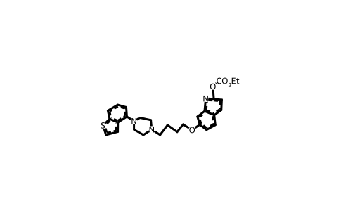 CCOC(=O)Oc1ccc2ccc(OCCCCN3CCN(c4cccc5sccc45)CC3)cc2n1